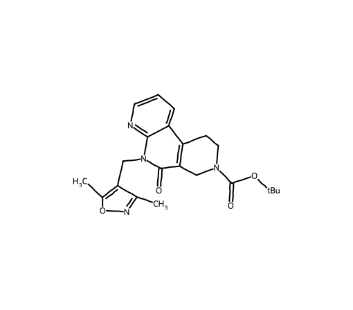 Cc1noc(C)c1Cn1c(=O)c2c(c3cccnc31)CCN(C(=O)OC(C)(C)C)C2